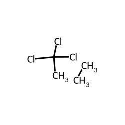 CC.CC(Cl)(Cl)Cl